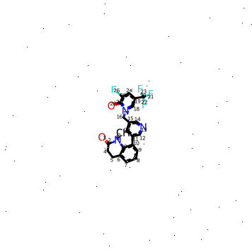 CN1C(=O)CCc2cccc(-c3cncc(Cn4cc(C(F)(F)F)cc(F)c4=O)c3)c21